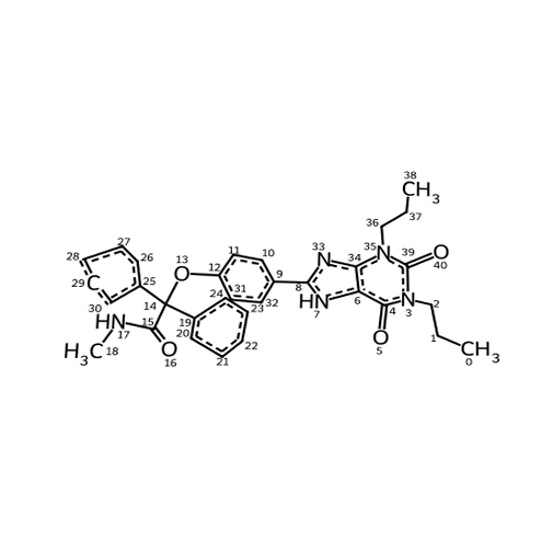 CCCn1c(=O)c2[nH]c(-c3ccc(OC(C(=O)NC)(c4ccccc4)c4ccccc4)cc3)nc2n(CCC)c1=O